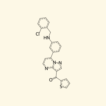 O=C(c1cccs1)c1cnn2c(-c3cccc(NCc4ccccc4Cl)c3)ccnc12